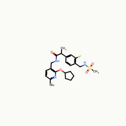 CC(C(=O)NCc1ccc(C(C)(C)C)nc1OC1CCCC1)c1ccc(CNS(C)(=O)=O)c(F)c1